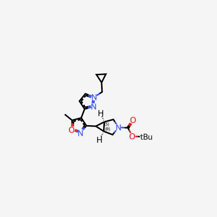 Cc1onc(C2[C@H]3CN(C(=O)OC(C)(C)C)C[C@@H]23)c1-c1ccn(CC2CC2)n1